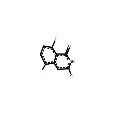 O=c1[nH]c(Cl)cc2c(F)ccc(F)c12